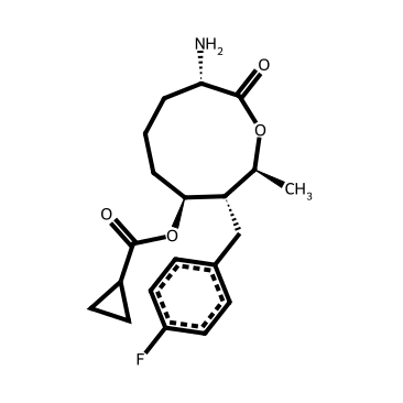 C[C@@H]1OC(=O)[C@@H](N)CCC[C@H](OC(=O)C2CC2)[C@H]1Cc1ccc(F)cc1